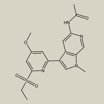 CCS(=O)(=O)c1cc(OC)cc(-c2cn(C)c3cnc(NC(C)=O)cc23)n1